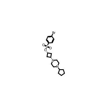 O=S(=O)(O[C@H]1C[C@@H](N2CCN(C3CCCC3)CC2)C1)c1ccc(Br)cc1